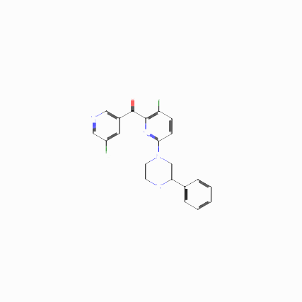 O=C(c1cncc(Br)c1)c1nc(N2CCNC(c3ccccc3)C2)ccc1Cl